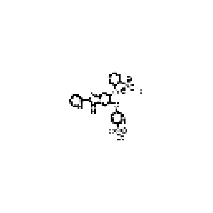 CCS(=O)(=O)c1ccc(Oc2cc3[nH]c(-c4ccccn4)nc3cc2Oc2ccccc2S(C)(=O)=O)cn1